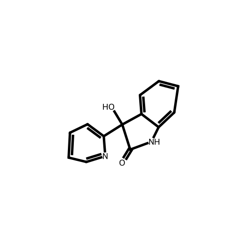 O=C1Nc2ccccc2C1(O)c1ccccn1